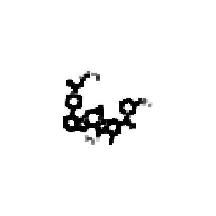 COCC(=O)N1CCC(c2cccc3cc(-c4nn5cc(C(=O)N6CCCC(N)C6)cc(F)c5c4C)n(CC4CC4)c23)CC1